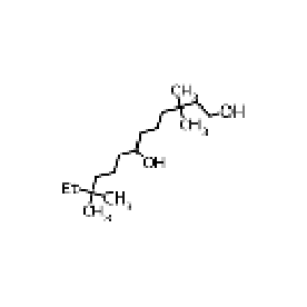 CCC(C)(C)CCCC(O)CCCC(C)(C)CCO